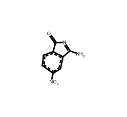 NC1=NC(=O)c2ccc([N+](=O)[O-])cc21